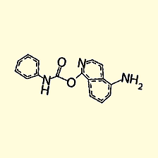 Nc1cccc2c(OC(=O)Nc3ccccc3)nccc12